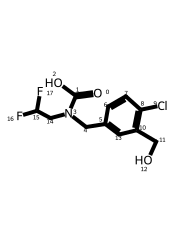 O=C(O)N(Cc1ccc(Cl)c(CO)c1)CC(F)F